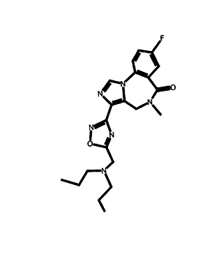 CCCN(CCC)Cc1nc(-c2ncn3c2CN(C)C(=O)c2cc(F)ccc2-3)no1